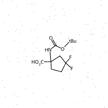 CC(C)(C)OC(=O)NC1(C(=O)O)CCC(F)(F)C1